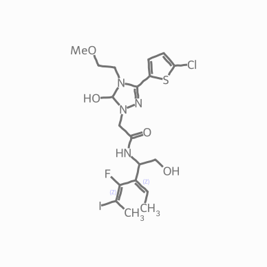 C/C=C(\C(F)=C(/C)I)C(CO)NC(=O)CN1N=C(c2ccc(Cl)s2)N(CCOC)C1O